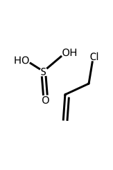 C=CCCl.O=S(O)O